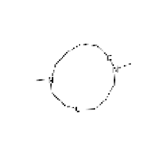 CN1CCCCCCN(C)CCCCC1